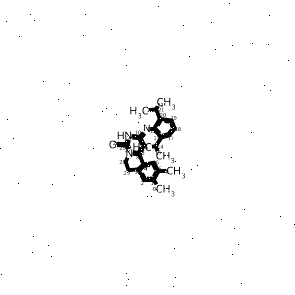 Cc1cc2c(cc1C)-c1c/c(=N\c3c(C(C)C)cccc3C(C)C)[nH]c(=O)n1CC2